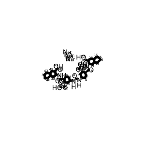 O=C(Nc1ccc(C(=O)Nc2cc3ccccc3cc2C(=O)O)c(S(=O)(=O)O)c1)Nc1ccc(C(=O)Nc2cc3ccccc3cc2C(=O)O)c(S(=O)(=O)O)c1.[Na].[Na].[Na].[Na]